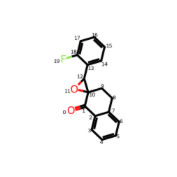 O=C1c2ccccc2CCC12OC2c1ccccc1F